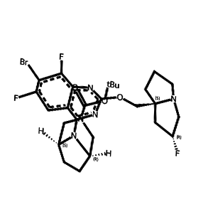 CC(C)(C)OC(=O)N1C[C@H]2CC[C@@H](C1)N2c1nc(OC[C@@]23CCCN2C[C@H](F)C3)nc2c(F)c(Br)c(F)cc12